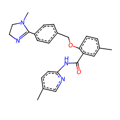 Cc1ccc(NC(=O)c2cc(C)ccc2OCc2ccc(C3=NCCN3C)cc2)nc1